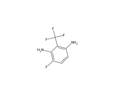 Nc1ccc(F)c(N)c1C(F)(F)F